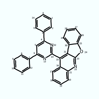 c1ccc(-c2cc(-c3ccccc3)nc(-c3c4ccccc4nc4oc5ccccc5c34)n2)cc1